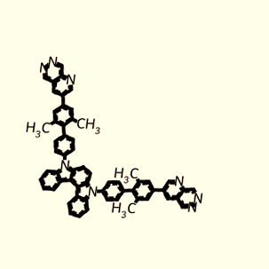 Cc1cc(-c2cnc3cnncc3c2)cc(C)c1-c1ccc(-n2c3ccccc3c3c4c5ccccc5n(-c5ccc(-c6c(C)cc(-c7cnc8cnncc8c7)cc6C)cc5)c4ccc32)cc1